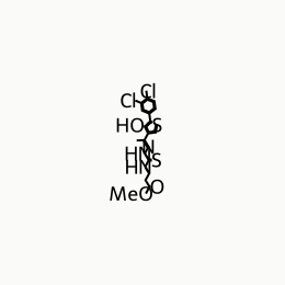 COC(=O)CCNC(=S)NN=C(C)c1csc(-c2ccc(Cl)c(Cl)c2)c1O